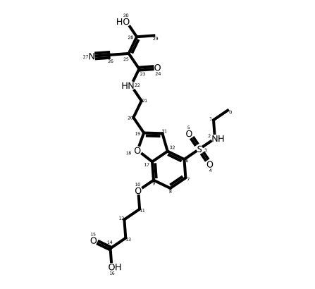 CCNS(=O)(=O)c1ccc(OCCCC(=O)O)c2oc(CCNC(=O)/C(C#N)=C(\C)O)cc12